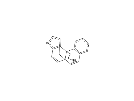 C1=CC23Cc4c[nH]c1c4C21CCNC3=Cc2ccccc21